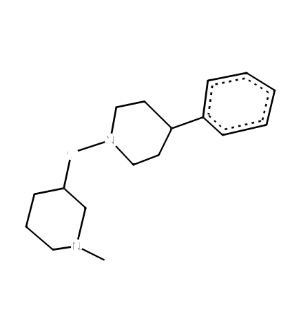 CN1CCCC(ON2CCC(c3ccccc3)CC2)C1